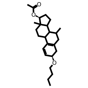 CCCCO[C@H]1C=CC2=C(CC(C)C3C2CCC2(C)C3CC[C@@H]2OC(C)=O)C1